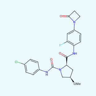 CO[C@@H]1C[C@H](C(=O)Nc2ccc(N3CCC3=O)cc2F)N(C(=O)Nc2ccc(Cl)cc2)C1